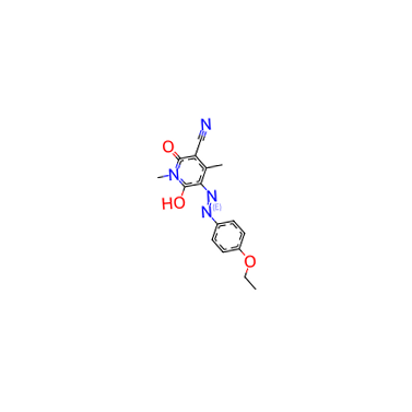 CCOc1ccc(/N=N/c2c(C)c(C#N)c(=O)n(C)c2O)cc1